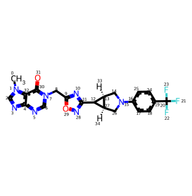 Cn1cnc2ncn(Cc3nc(C4[C@H]5CN(c6ccc(C(F)(F)F)cc6)C[C@@H]45)no3)c(=O)c21